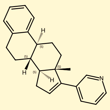 C[C@]12CC[C@@H]3c4ccccc4CC[C@H]3[C@@H]1CC=C2c1cccnc1